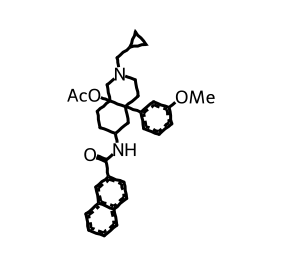 COc1cccc(C23CCN(CC4CC4)CC2(OC(C)=O)CCC(NC(=O)c2ccc4ccccc4c2)C3)c1